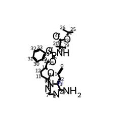 C=C/C=C1/C(N)=NC=NN1[C@H]1CCC(COP(NC(C)(C)C(=O)OC(C)C)Oc2ccccc2)O1